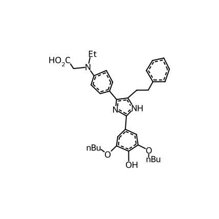 CCCCOc1cc(-c2nc(-c3ccc(N(CC)CC(=O)O)cc3)c(CCc3ccccc3)[nH]2)cc(OCCCC)c1O